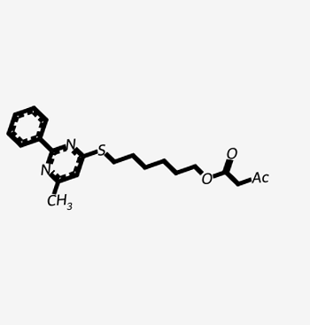 CC(=O)CC(=O)OCCCCCCSc1cc(C)nc(-c2ccccc2)n1